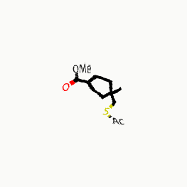 COC(=O)C1CCC(C)(CSC(C)=O)CC1